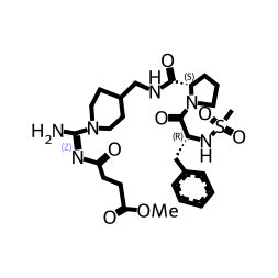 COC(=O)CCC(=O)/N=C(/N)N1CCC(CNC(=O)[C@@H]2CCCN2C(=O)[C@@H](Cc2ccccc2)NS(C)(=O)=O)CC1